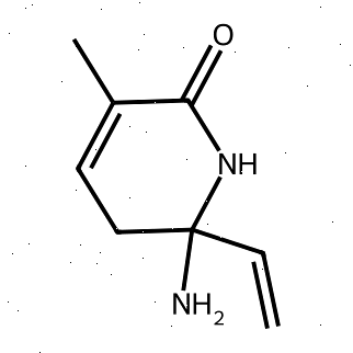 C=CC1(N)CC=C(C)C(=O)N1